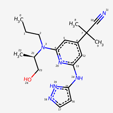 CCCN(c1cc(C(C)(C)C#N)cc(Nc2ccn[nH]2)n1)[C@H](C)CO